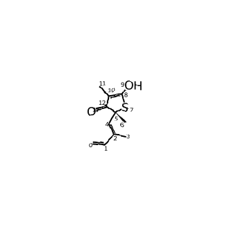 C=C/C(C)=C/[C@@]1(C)SC(O)=C(C)C1=O